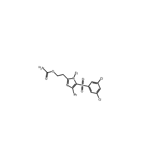 CCn1c(CCOC(N)=O)nc(C(C)C)c1S(=O)(=O)c1cc(Cl)cc(Cl)c1